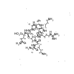 CC(C)[C@H](NC(=O)[C@H](CCCCN)NC(=O)[C@@H](CCCNC(=N)N)NC(=O)[C@@H]1CCCN1C(=O)[C@H](CCCCN)NC(=O)[C@H](C)N)C(=O)N[C@@H](C)C(=O)N[C@@H](C)C(=O)N[C@@H](CCC(N)=O)C(=O)O